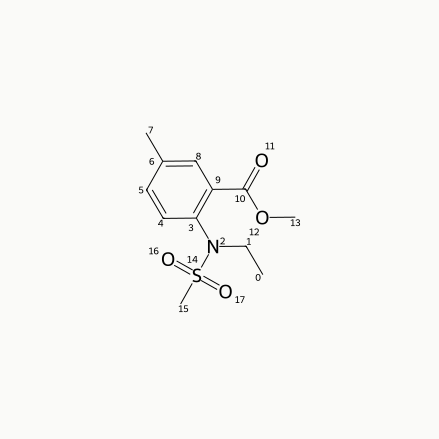 CCN(c1ccc(C)cc1C(=O)OC)S(C)(=O)=O